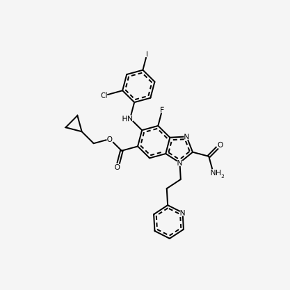 NC(=O)c1nc2c(F)c(Nc3ccc(I)cc3Cl)c(C(=O)OCC3CC3)cc2n1CCc1ccccn1